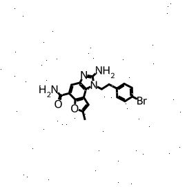 Cc1cc2c(o1)c(C(N)=O)cc1nc(N)n(CCc3ccc(Br)cc3)c12